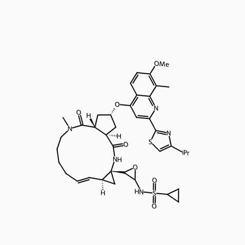 COc1ccc2c(O[C@@H]3C[C@H]4C(=O)N[C@]5(C6OC6NS(=O)(=O)C6CC6)C[C@H]5/C=C/CCCCN(C)C(=O)[C@@H]4C3)cc(-c3nc(C(C)C)cs3)nc2c1C